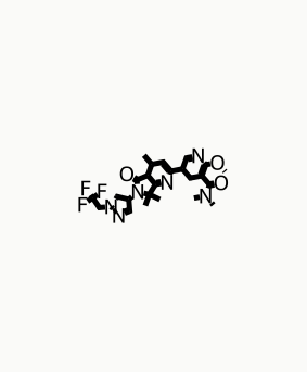 COC1=C(C(=O)N(C)C)CC(C2=CC(C)C3C(=O)N(C4C=NN(CC(F)(F)F)C4)C(C)(C)C3=N2)C=N1